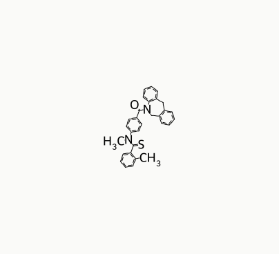 Cc1ccccc1C(=S)N(C)c1ccc(C(=O)N2Cc3ccccc3Cc3ccccc32)cc1